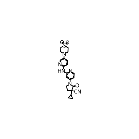 N#C[C@@]1(C2CC2)CCN(c2ccnc(Nc3ccc(N4CCS(=O)(=O)CC4)cn3)c2)C1=O